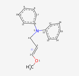 CO/C=C/CN(c1ccccc1)c1ccccc1